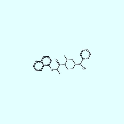 CC(Oc1cccc2ncccc12)C(=O)N1CCC(=C(C#N)c2ccccc2)CC1C